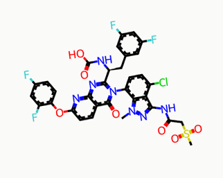 Cn1nc(NC(=O)CS(C)(=O)=O)c2c(Cl)ccc(-n3c([C@H](Cc4cc(F)cc(F)c4)NC(=O)O)nc4nc(Oc5ccc(F)cc5F)ccc4c3=O)c21